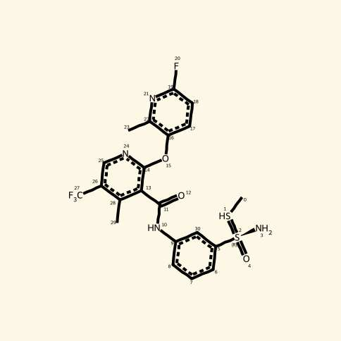 C[SH]=[S@](N)(=O)c1cccc(NC(=O)c2c(Oc3ccc(F)nc3C)ncc(C(F)(F)F)c2C)c1